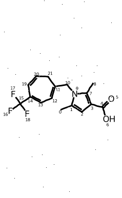 Cc1cc(C(=O)O)c(C)n1CC1=CC=C(C(F)(F)F)C=CC1